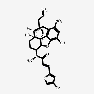 C=CCN1CC[C@]23c4c5c([N+](=O)[O-])cc(O)c4OC2C(N(C)C(=O)/C=C/c2cc(Br)cs2)CC[C@@]3(O)[C@H]1C5